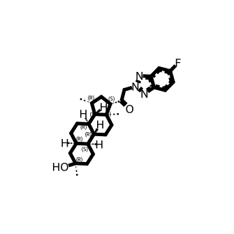 C[C@@H]1C[C@H](C(=O)Cn2nc3ccc(F)cc3n2)[C@@]2(C)CC[C@H]3[C@@H](CC[C@@H]4C[C@](C)(O)CC[C@@H]43)[C@H]12